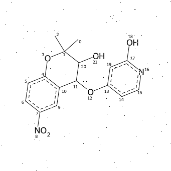 CC1(C)Oc2ccc([N+](=O)[O-])cc2C(Oc2ccnc(O)c2)C1O